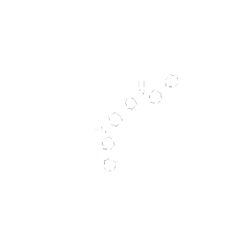 CCCCCCC1(CCCCCC)c2ccccc2-c2ccc(Nc3ccc(-c4ccc(Nc5cccc(-c6ccc7c(c6)CC7)c5)cc4)cc3)cc21